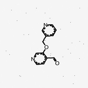 O=Cc1ccncc1OCc1cccnc1